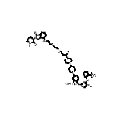 COc1cc(N2CCC(N3CCN(C(=O)CCOCCOCCNc4cccc5c4CN(C4CCC(=O)NC4=O)C5=O)CC3)CC2)ccc1Nc1ncc(Cl)c(Nc2ccccc2P(C)(C)=O)n1